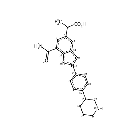 NC(=O)c1cc(C(C(=O)O)C(F)(F)F)cc2cn(-c3ccc(C4CCCNC4)cc3)nc12